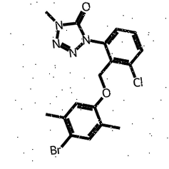 Cc1cc(OCc2c(Cl)cccc2-n2nnn(C)c2=O)c(C)cc1Br